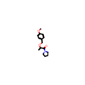 COc1ccc(COC(C)C(=O)N2CCCC2)cc1